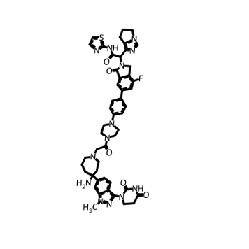 Cn1nc(N2CCC(=O)NC2=O)c2ccc(C3(N)CCCN(CC(=O)N4CCN(c5ccc(-c6cc(F)c7c(c6)C(=O)N(C(C(=O)Nc6nccs6)c6ncn8c6CCC8)C7)cc5)CC4)CC3)cc21